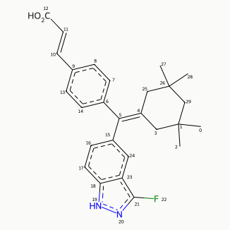 CC1(C)CC(=C(c2ccc(C=CC(=O)O)cc2)c2ccc3[nH]nc(F)c3c2)CC(C)(C)C1